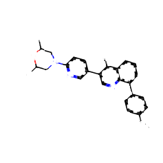 CCc1c(-c2ccc(N3CC(C)OC(C)C3)nc2)cnc2c(-c3ccc(C#N)cc3)cccc12